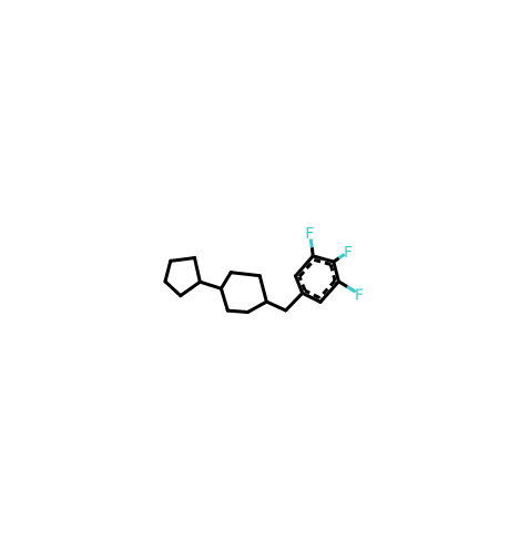 Fc1cc(CC2CCC(C3CCCC3)CC2)cc(F)c1F